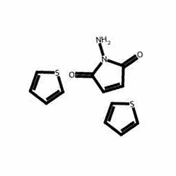 NN1C(=O)C=CC1=O.c1ccsc1.c1ccsc1